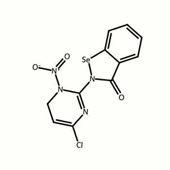 O=c1c2ccccc2[se]n1C1=NC(Cl)=CCN1[N+](=O)[O-]